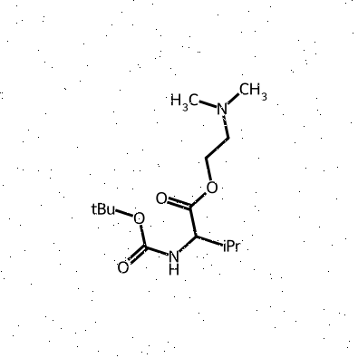 CC(C)C(NC(=O)OC(C)(C)C)C(=O)OCCN(C)C